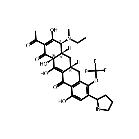 CCN(C)[C@@H]1C(O)=C(C(C)=O)C(=O)[C@@]2(O)C(O)=C3C(=O)c4c(O)cc(C5CCCN5)c(OC(F)(F)F)c4C[C@H]3C[C@@H]12